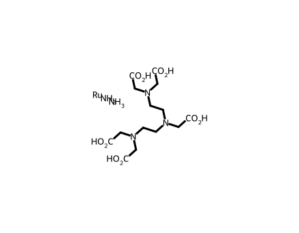 N.N.O=C(O)CN(CCN(CC(=O)O)CC(=O)O)CCN(CC(=O)O)CC(=O)O.[Ru]